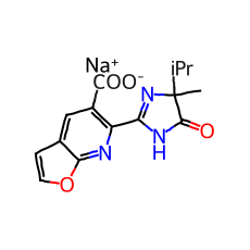 CC(C)C1(C)N=C(c2nc3occc3cc2C(=O)[O-])NC1=O.[Na+]